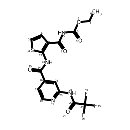 CCOC(=O)NC(=O)c1ccsc1NC(=O)c1ccnc(NC(=O)C(F)(F)F)c1